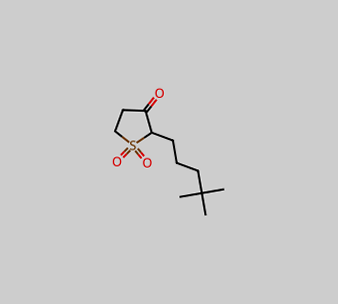 CC(C)(C)CCCC1C(=O)CCS1(=O)=O